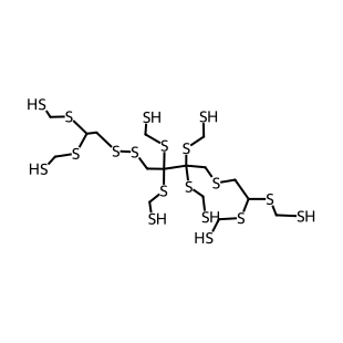 SCSC(CSCC(SCS)(SCS)C(CSSCC(SCS)SCS)(SCS)SCS)SCS